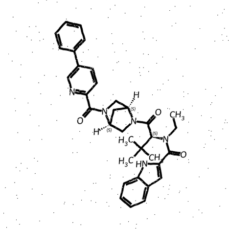 CCN(C(=O)c1cc2ccccc2[nH]1)[C@H](C(=O)N1C[C@@H]2C[C@H]1CN2C(=O)c1ccc(-c2ccccc2)cn1)C(C)(C)C